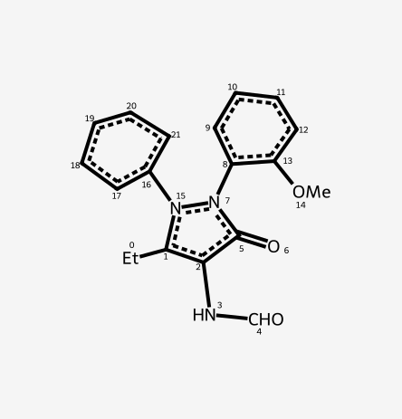 CCc1c(NC=O)c(=O)n(-c2ccccc2OC)n1-c1ccccc1